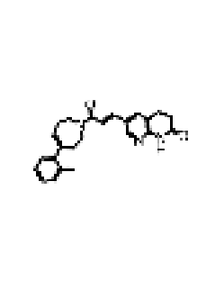 Cc1ccccc1C1=CCCN(C(=O)/C=C/c2cnc3c(c2)CCC(=O)N3)CC1